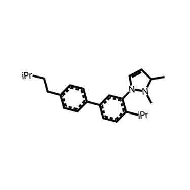 CC(C)CCc1ccc(-c2ccc(C(C)C)c(N3C=CC(C)N3C)c2)cc1